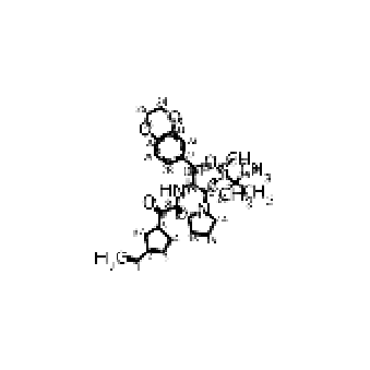 C=CC1=CCC(C(=O)C(=O)N[C@H](CN2CCCC2)[C@H](O[Si](C)(C)C(C)(C)C)c2ccc3c(c2)OCCO3)C1